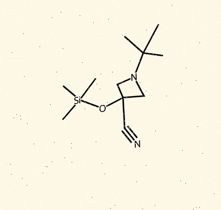 CC(C)(C)N1CC(C#N)(O[Si](C)(C)C)C1